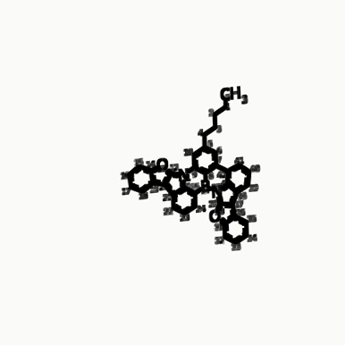 CCCCCc1cc2c3c(c1)-n1c4oc5ccccc5c4c4cccc(c41)B3n1c3oc4ccccc4c3c3cccc-2c31